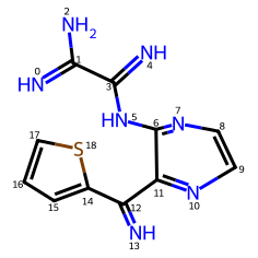 N=C(N)C(=N)Nc1nccnc1C(=N)c1cccs1